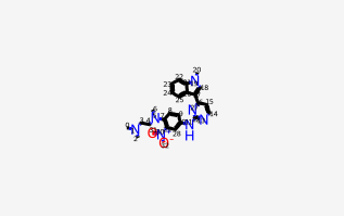 CN(C)CCN(C)c1ccc(Nc2nccc(-c3cn(C)c4ccccc34)n2)cc1[N+](=O)[O-]